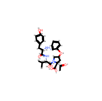 CC(=O)[C@@]1(C(=O)O)CC(Oc2ccccc2)CN1C(=O)[C@@H](NC(=O)[C@@H](N)Cc1ccc(O)cc1)C(C)C